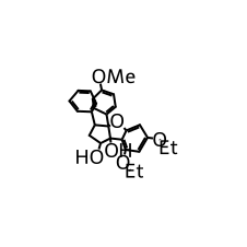 CCOc1cc(OCC)c2c(c1)OC1(c3ccc(OC)cc3)C(c3ccccc3)CC(O)C21O